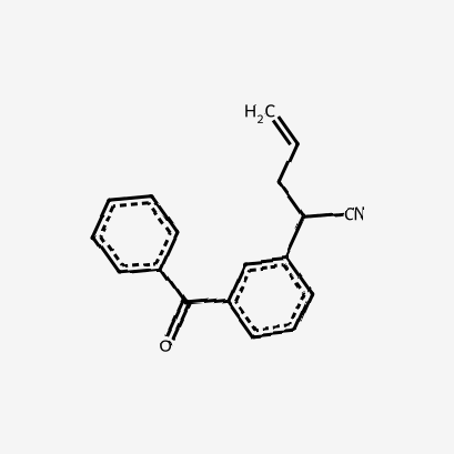 C=CCC(C#N)c1cccc(C(=O)c2ccccc2)c1